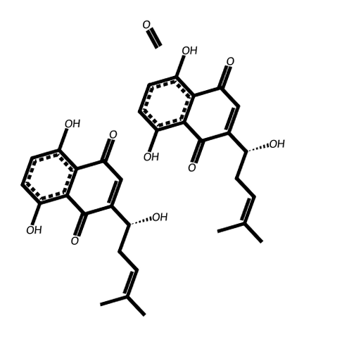 C=O.CC(C)=CC[C@@H](O)C1=CC(=O)c2c(O)ccc(O)c2C1=O.CC(C)=CC[C@@H](O)C1=CC(=O)c2c(O)ccc(O)c2C1=O